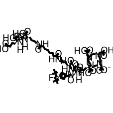 CC(C)(C)[C@H](F)[S+](c1ccc(C(=O)NC[C@H](NC(=O)CC[C@@H](C(=O)O)N2CCN(CC(=O)[O-])CCN(CC(=O)O)CCN(CC(=O)O)CC2)C(=O)N[C@H](CCCCNC(=O)CCCCCCC(=O)NCCCC[C@H](NC(=O)N[C@@H](CCCC(=O)O)C(=O)O)C(=O)O)C(=O)O)cc1)C(C)(C)C